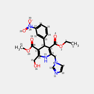 CCOC(=O)C1=C(Cn2ccnc2)NC(CO)=C(C(=O)OC)C1c1cccc([N+](=O)[O-])c1